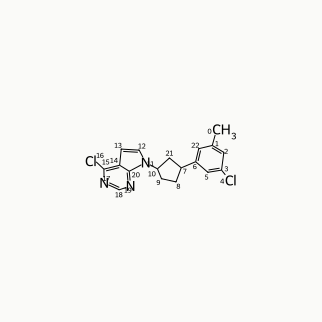 Cc1cc(Cl)cc(C2CCC(n3ccc4c(Cl)ncnc43)C2)c1